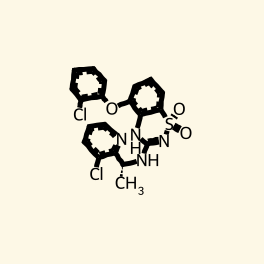 C[C@@H](NC1=NS(=O)(=O)c2cccc(Oc3ccccc3Cl)c2N1)c1ncccc1Cl